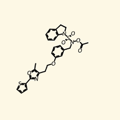 CC(=O)ON(Cc1cccc(OCCc2nc(-c3cccs3)oc2C)c1)S(=O)(=O)N1CCc2ccccc21